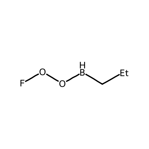 CCCBOOF